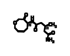 C[C@@H](CC(N)=O)CC(=O)N[C@H]1CC=CCOCC1=O